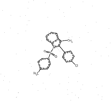 Cc1ccc(S(=O)(=O)n2c(-c3ccc(Cl)cc3)c(C)c3ccccc32)cc1